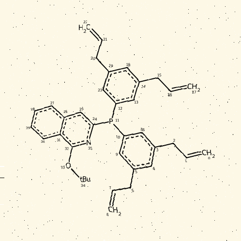 C=CCc1cc(CC=C)cc(P(c2cc(CC=C)cc(CC=C)c2)c2cc3ccccc3c(OC(C)(C)C)n2)c1